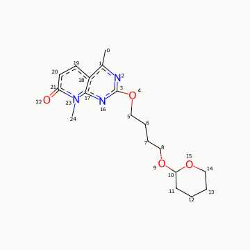 Cc1nc(OCCCCOC2CCCCO2)nc2c1ccc(=O)n2C